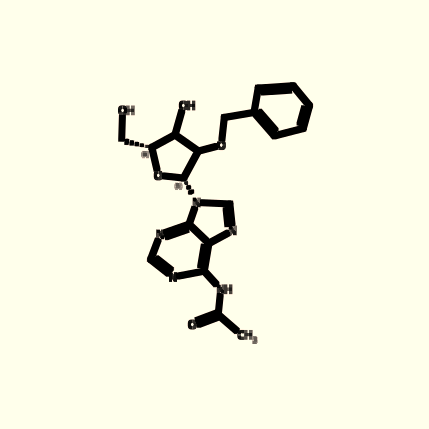 CC(=O)Nc1ncnc2c1ncn2[C@@H]1O[C@H](CO)C(O)C1OCc1ccccc1